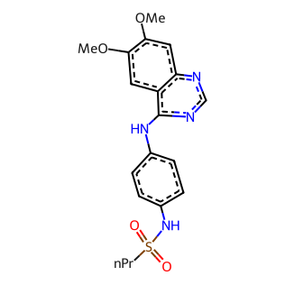 CCCS(=O)(=O)Nc1ccc(Nc2ncnc3cc(OC)c(OC)cc23)cc1